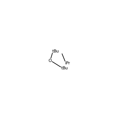 CC(C)(C)OC(C)(C)C.CC(C)C